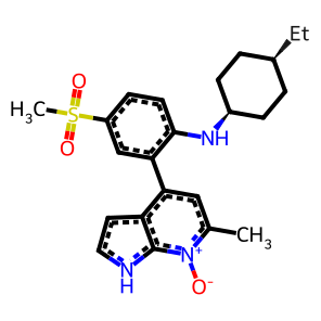 CC[C@H]1CC[C@@H](Nc2ccc(S(C)(=O)=O)cc2-c2cc(C)[n+]([O-])c3[nH]ccc23)CC1